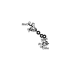 COC(=O)C[C@H](C(=O)N1CC(F)(F)C[C@H]1c1ncc(-c2ccc(-c3ccc4c(ccc5nc([C@@H]6C[Si](C)(C)CN6C(=O)[C@@H](NC(=O)OC)C(C)C)[nH]c54)c3)cc2)[nH]1)C(C)C